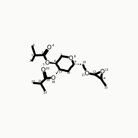 CC(C)C(=O)O[C@H]1CO[C@H](COC2OC2C)C[C@@H]1OC(=O)C(C)C